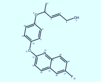 CC(/C=C/CO)Oc1ccc(Oc2ccc3cc(F)ccc3n2)cc1